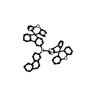 c1ccc2c(c1)Oc1ccccc1C21c2ccccc2-c2cc(N(c3ccc4c(c3)-c3ccccc3C43c4ccccc4Oc4ccccc43)c3ccc4c(ccc5ccccc54)c3)ccc21